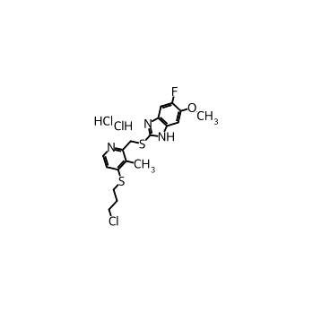 COc1cc2[nH]c(SCc3nccc(SCCCCl)c3C)nc2cc1F.Cl.Cl